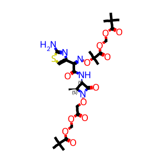 C[C@H]1[C@H](NC(=O)C(=NOC(C)(C)C(=O)OCOC(=O)C(C)(C)C)c2csc(N)n2)C(=O)N1OCC(=O)OCOC(=O)C(C)(C)C